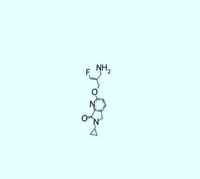 NCC(=CF)COc1ccc2c(n1)C(=O)N(C1CC1)C2